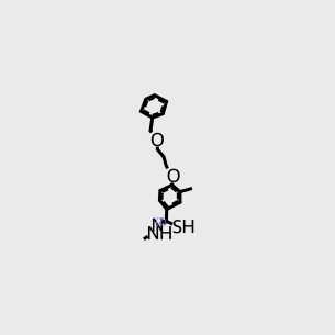 CN/N=C(\S)c1ccc(OCCCOCc2ccccc2)c(C)c1